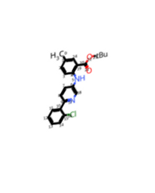 Cc1ccc(Nc2ccc(-c3ccccc3Cl)nc2)c(C(=O)OC(C)(C)C)c1